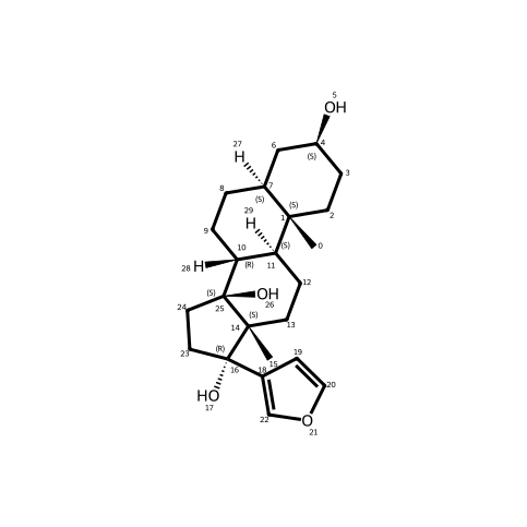 C[C@]12CC[C@H](O)C[C@@H]1CC[C@@H]1[C@@H]2CC[C@]2(C)[C@@](O)(c3ccoc3)CC[C@]12O